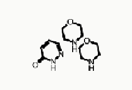 C1COCCN1.C1COCCN1.O=c1cccn[nH]1